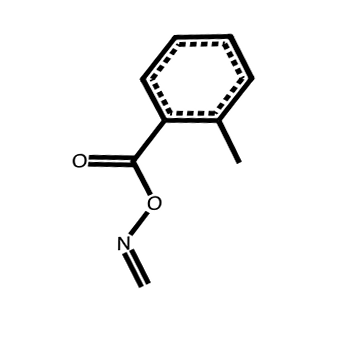 C=NOC(=O)c1ccccc1C